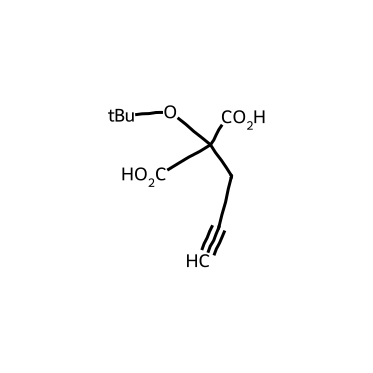 C#CCC(OC(C)(C)C)(C(=O)O)C(=O)O